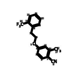 N#Cc1ccc(OCCc2ccccc2C(F)(F)F)cc1C(F)(F)F